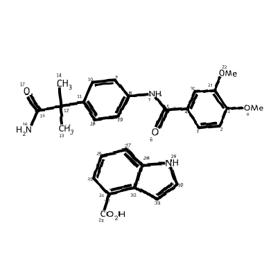 COc1ccc(C(=O)Nc2ccc(C(C)(C)C(N)=O)cc2)cc1OC.O=C(O)c1cccc2[nH]ccc12